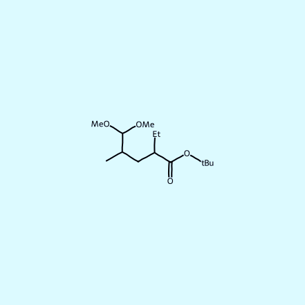 CCC(CC(C)C(OC)OC)C(=O)OC(C)(C)C